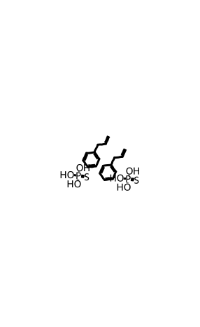 C=CCc1ccccc1.C=CCc1ccccc1.OP(O)(O)=S.OP(O)(O)=S